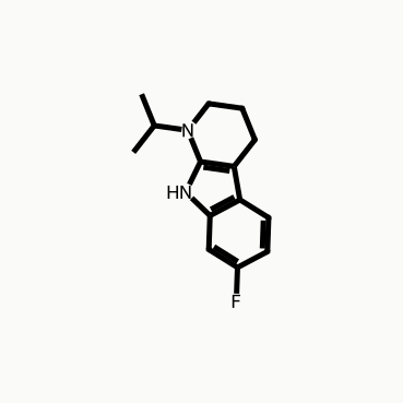 CC(C)N1CCCc2c1[nH]c1cc(F)ccc21